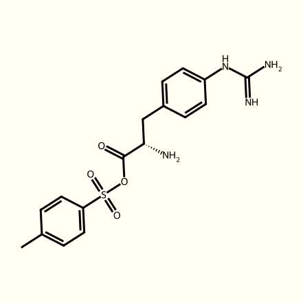 Cc1ccc(S(=O)(=O)OC(=O)[C@@H](N)Cc2ccc(NC(=N)N)cc2)cc1